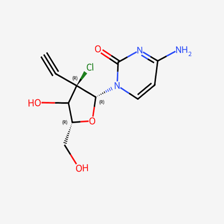 C#C[C@@]1(Cl)C(O)[C@@H](CO)O[C@H]1n1ccc(N)nc1=O